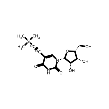 C[Si](C)(C)[13C]#[13C]c1cn([C@@H]2O[C@H](CO)[C@H](O)[C@@H]2O)c(=O)[nH]c1=O